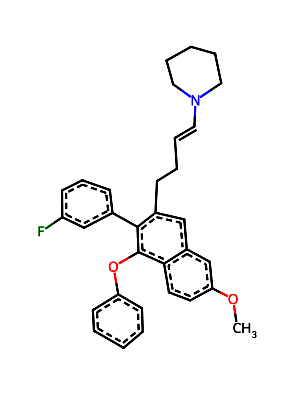 COc1ccc2c(Oc3ccccc3)c(-c3cccc(F)c3)c(CCC=CN3CCCCC3)cc2c1